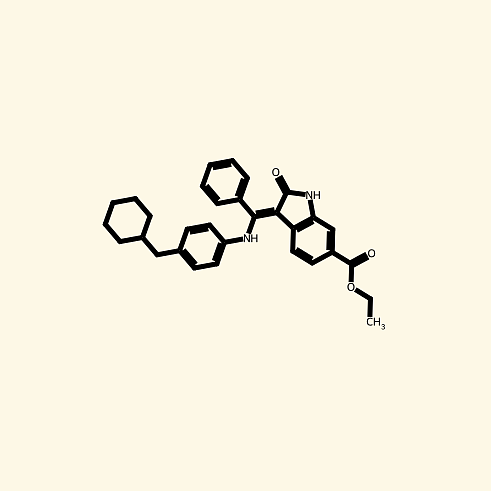 CCOC(=O)c1ccc2c(c1)NC(=O)C2=C(Nc1ccc(CC2CCCCC2)cc1)c1ccccc1